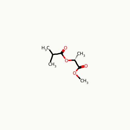 COC(=O)[C@@H](C)OC(=O)C(C)C